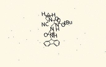 CC(C)(C)OC(=O)NC(CN1C[C@@H]2CC1C(=O)N2C1c2ccccc2-c2ccccc21)C(=O)N1C(C#N)C[C@@H]2C[C@@H]21